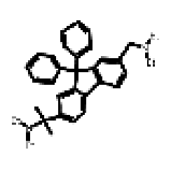 CCN(CC)Cc1ccc2c(c1)C(c1ccccc1)(c1ccccc1)c1cc(C(C)(C)N(CC)CC)ccc1-2